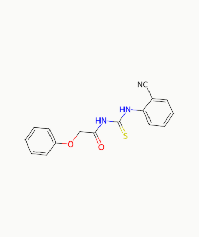 N#Cc1ccccc1NC(=S)NC(=O)COc1ccccc1